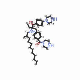 CCCCCCCCCCC(C)CNC(CC)(Cc1ccc(C(=O)N2CCNCC2)cc1)C(=O)c1ccc(N2CCNCC2)cc1